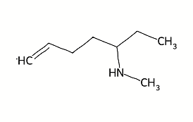 [CH]=CCCC(CC)NC